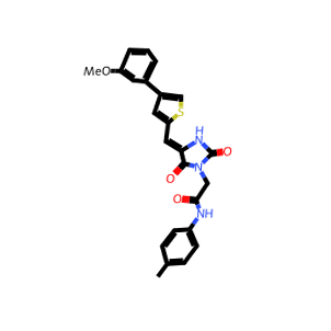 COc1cccc(-c2csc(/C=C3\NC(=O)N(CC(=O)Nc4ccc(C)cc4)C3=O)c2)c1